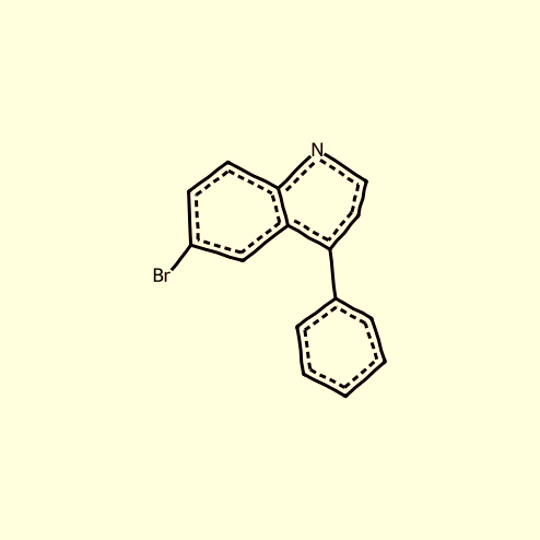 Brc1ccc2nccc(-c3ccccc3)c2c1